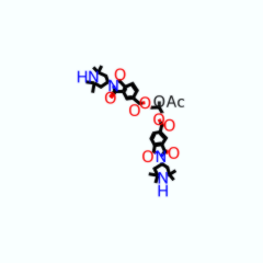 CC(=O)OC(COC(=O)c1ccc2c(c1)C(=O)N(C1CC(C)(C)NC(C)(C)C1)C2=O)COC(=O)c1ccc2c(c1)C(=O)N(C1CC(C)(C)NC(C)(C)C1)C2=O